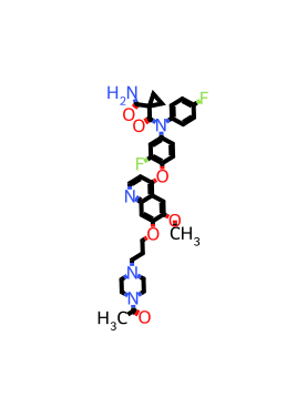 COc1cc2c(Oc3ccc(N(C(=O)C4(C(N)=O)CC4)c4ccc(F)cc4)cc3F)ccnc2cc1OCCCN1CCN(C(C)=O)CC1